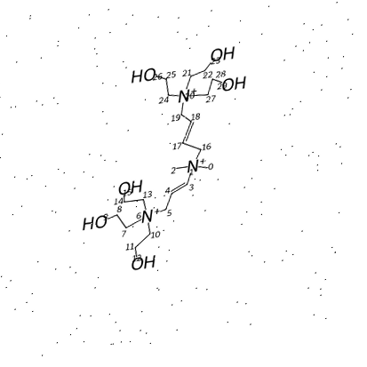 C[N+](C)(C=CC[N+](CCO)(CCO)CCO)CC=CC[N+](CCO)(CCO)CCO